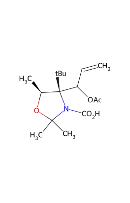 C=CC(OC(C)=O)[C@@]1(C(C)(C)C)[C@H](C)OC(C)(C)N1C(=O)O